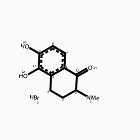 Br.CNC1CCc2c(ccc(O)c2O)C1=O